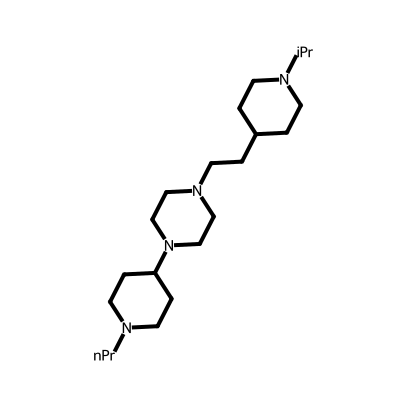 CCCN1CCC(N2CCN(CCC3CCN(C(C)C)CC3)CC2)CC1